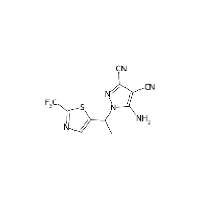 CC(c1cnc(C(F)(F)F)s1)n1nc(C#N)c(C#N)c1N